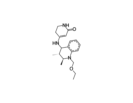 CCOCN1c2ccccc2C(NC2=CC(=O)NCC2)[C@@H](C)[C@@H]1C